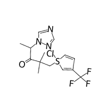 CC(C(=O)C(C)(C)CS1(Cl)C=CC(C(F)(F)F)=C1)n1cncn1